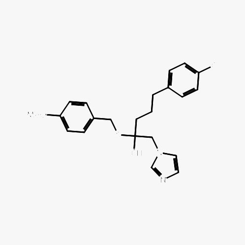 COc1ccc(CSC(C)(CCCc2ccc(Cl)cc2)Cn2ccnc2)cc1